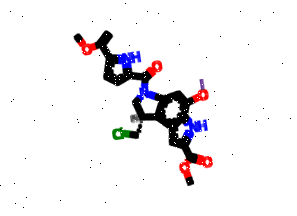 C=C(OC)c1ccc(C(=O)N2C[C@@H](CCl)c3c2cc(OI)c2[nH]c(C(=O)OC)cc32)[nH]1